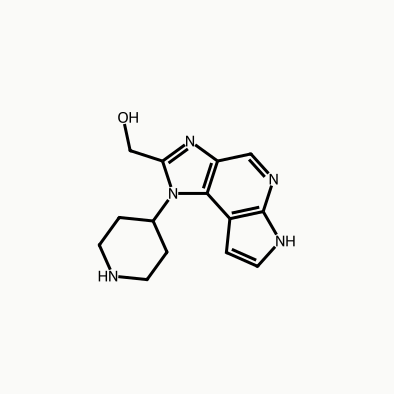 OCc1nc2cnc3[nH]ccc3c2n1C1CCNCC1